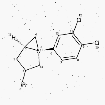 CC(C)C1C[C@H]2C[N@+]2(c2ccc(Cl)c(Cl)c2)C1